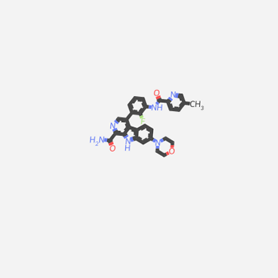 Cc1ccc(C(=O)Nc2cccc(-c3cnc(C(N)=O)c4[nH]c5cc(N6CCOCC6)ccc5c34)c2F)nc1